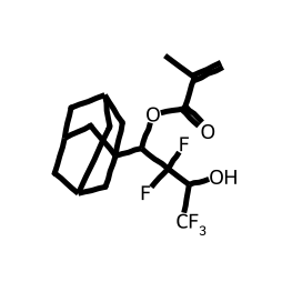 C=C(C)C(=O)OC(C12CC3CC(CC(C3)C1)C2)C(F)(F)C(O)C(F)(F)F